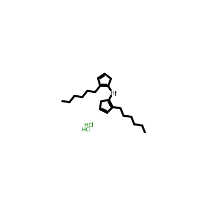 CCCCCCC1=[C]([Hf][C]2=C(CCCCCC)C=CC2)CC=C1.Cl.Cl